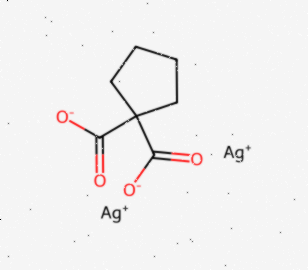 O=C([O-])C1(C(=O)[O-])CCCC1.[Ag+].[Ag+]